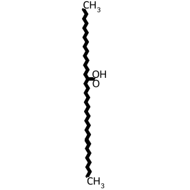 CCCCCCCCC=CCCCCCCCCCCCCC(CCCCCCCCCCCCCCCC)C(=O)O